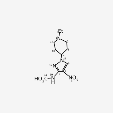 CCN1CCC(n2cc([N+](=O)[O-])c(NC(=O)O)n2)CC1